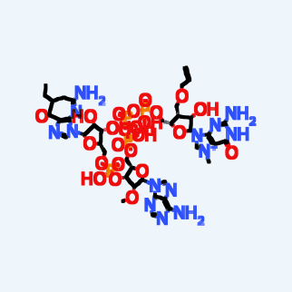 C=CCOC[C@@H]1[C@@H](COP(=O)(O)OP(=O)(O)OP(=O)(O)OC[C@H]2O[C@@H](n3cnc4c(N)ncnc43)[C@H](OC)[C@@H]2OP(=O)(O)OC[C@H]2O[C@@H](n3cnc4c3N=C(N)CC(CC)C4=O)[C@H](O)[C@@H]2O)OC(n2c[n+](C)c3c(=O)[nH]c(N)nc32)[C@@H]1O